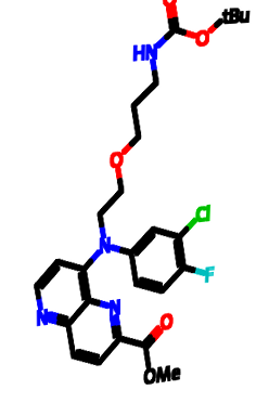 COC(=O)c1ccc2nccc(N(CCOCCCNC(=O)OC(C)(C)C)c3ccc(F)c(Cl)c3)c2n1